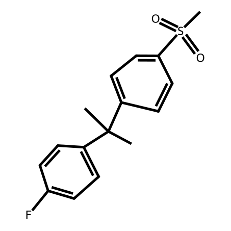 CC(C)(c1ccc(F)cc1)c1ccc(S(C)(=O)=O)cc1